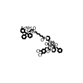 CCNC(=O)[C@]1(Cc2ccccc2)CCCN(C(=O)[C@@H](Cc2ccc(Cl)c(Cl)c2)NC(=O)N[C@@H]2CCCN(C(=O)CCCCCNC(=O)C(CSC(c3ccccc3)(c3ccccc3)c3ccccc3)NC(C)=O)C2)C1